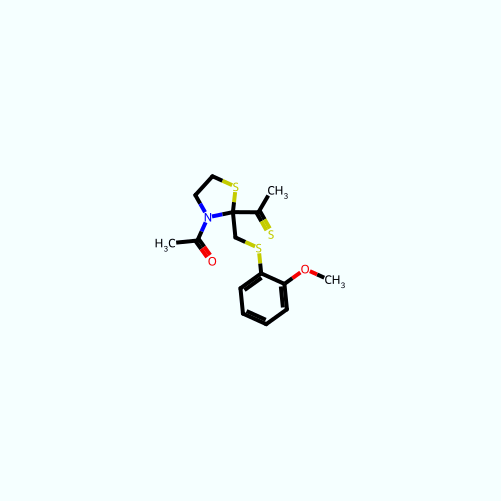 COc1ccccc1SCC1(C(C)=S)SCCN1C(C)=O